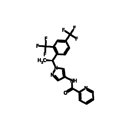 C[C@@H](c1ccc(C(F)(F)F)cc1C(F)(F)F)n1cc(NC(=O)c2ccccn2)cn1